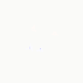 COc1cc2c(c(OC)c1)CN1C=CC=CC1=N2